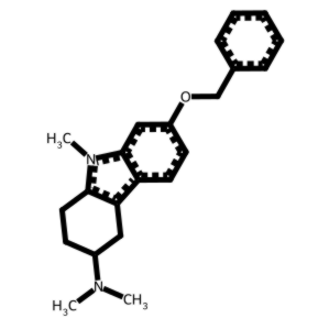 CN(C)C1CCc2c(c3ccc(OCc4ccccc4)cc3n2C)C1